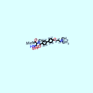 CNC(=O)C(C(=O)NO)N(C)C(=O)c1ccc(-c2ccc(OCCCN(C)C)cc2)cc1